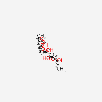 CCCC[C@H](O)[C@H]1CC[C@H]([C@H](O)CC[C@H](O)[C@@H]2CC[C@@H](C[C@@H](O)CC3=C[C@H](C)OC3=O)O2)O1